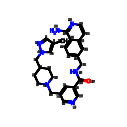 Cc1cnn(CC2CCN(Cc3cncc(C(=O)NCc4ccc5c(N)nccc5c4)c3)CC2)c1